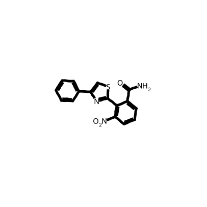 NC(=O)c1cccc([N+](=O)[O-])c1-c1nc(-c2ccccc2)cs1